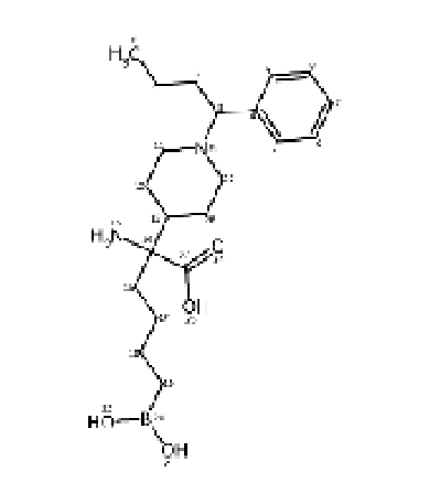 CCCC(c1ccccc1)N1CCC(C(N)(CCCCB(O)O)C(=O)O)CC1